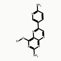 CCOc1nc(N)nc2ncc(-c3ccc(N)nc3)nc12